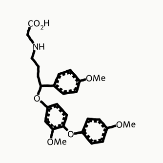 COc1ccc(Oc2ccc(OC(CCCNCC(=O)O)c3ccc(OC)cc3)cc2OC)cc1